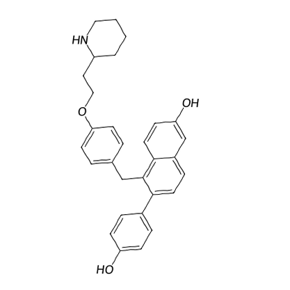 Oc1ccc(-c2ccc3cc(O)ccc3c2Cc2ccc(OCCC3CCCCN3)cc2)cc1